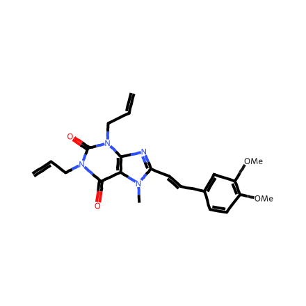 C=CCn1c(=O)c2c(nc(C=Cc3ccc(OC)c(OC)c3)n2C)n(CC=C)c1=O